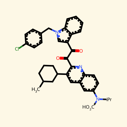 CC1CCCC(c2cc3cc(N(C(=O)O)C(C)C)ccc3nc2C(=O)C(=O)c2cn(Cc3ccc(Cl)cc3)c3ccccc23)C1